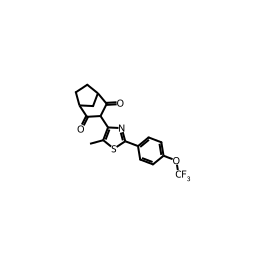 Cc1sc(-c2ccc(OC(F)(F)F)cc2)nc1C1C(=O)C2CCC(C2)C1=O